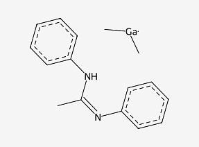 CC(=Nc1ccccc1)Nc1ccccc1.[CH3][Ga][CH3]